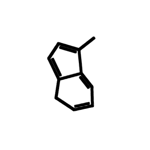 CC1=CC=C2CC=CC=C12